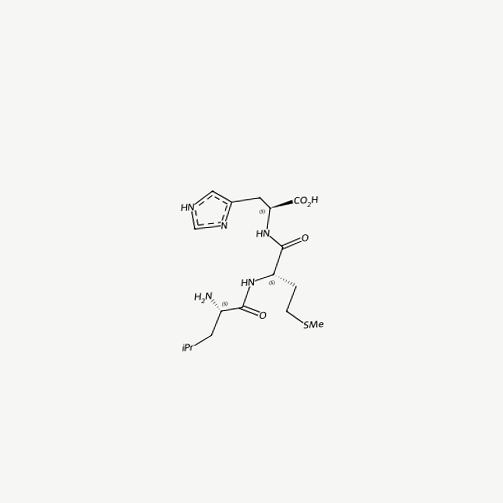 CSCC[C@H](NC(=O)[C@@H](N)CC(C)C)C(=O)N[C@@H](Cc1c[nH]cn1)C(=O)O